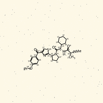 CN[C@@H](C)C(=O)N[C@H](C(=O)N1CCC[C@H]1c1nc(C(=O)c2ccc(OC(C)C)cc2)cs1)C1CCCCC1